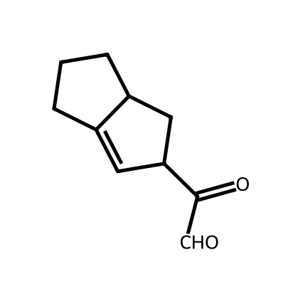 O=CC(=O)C1C=C2CCCC2C1